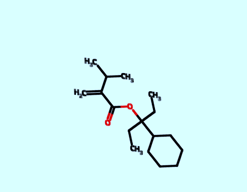 C=C(C(=O)OC(CC)(CC)C1CCCCC1)C(C)C